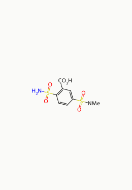 CNS(=O)(=O)c1ccc(S(N)(=O)=O)c(C(=O)O)c1